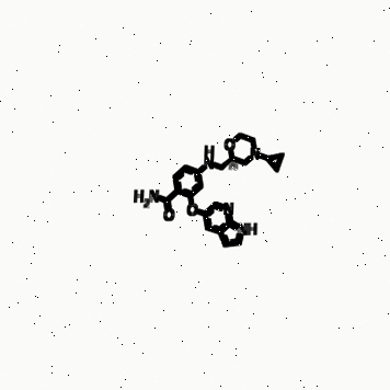 NC(=O)c1ccc(NC[C@@H]2CN(C3CC3)CCO2)cc1Oc1cnc2[nH]ccc2c1